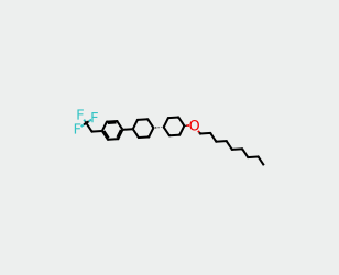 CCCCCCCCCO[C@H]1CC[C@H](C2CCC(c3ccc(CC(F)(F)F)cc3)CC2)CC1